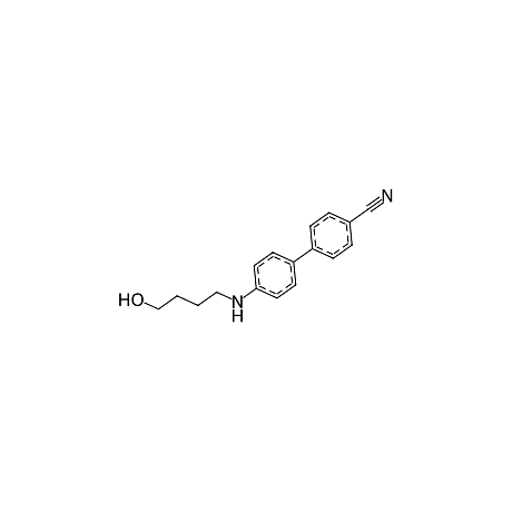 N#Cc1ccc(-c2ccc(NCCCCO)cc2)cc1